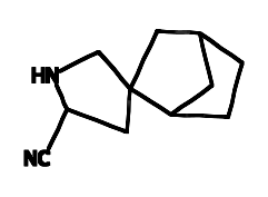 N#CC1CC2(CN1)CC1CCC2C1